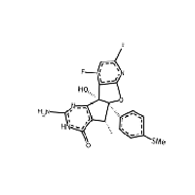 CSc1ccc([C@@]23Oc4nc(F)cc(F)c4[C@]2(O)c2nc(N)[nH]c(=O)c2[C@H]3C)cc1